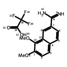 COc1ccc2ccc(C(=N)N)cc2c1OC.O=C(O)C(F)(F)F